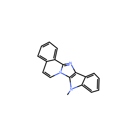 Cn1c2ccccc2c2nc3c4ccccc4ccn3c21